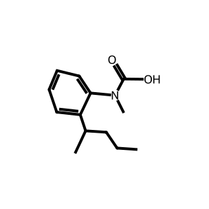 CCCC(C)c1ccccc1N(C)C(=O)O